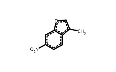 Cc1coc2cc([N+](=O)[O-])ccc12